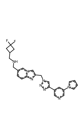 FC1(F)CC(CNCc2ccc3nc(Cn4cc(-c5cncc(-n6cccc6)c5)nn4)cn3c2)C1